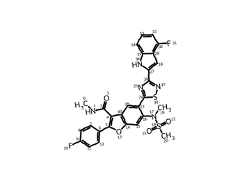 CNC(=O)c1c(-c2ccc(F)cc2)oc2cc(N(C)S(C)(=O)=O)c(-c3nc(-c4cc5c(F)cccc5[nH]4)ns3)cc12